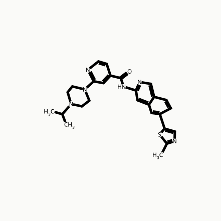 Cc1ncc(-c2ccc3cnc(NC(=O)c4ccnc(N5CCN(C(C)C)CC5)c4)cc3c2)s1